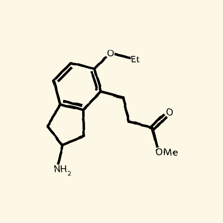 CCOc1ccc2c(c1CCC(=O)OC)CC(N)C2